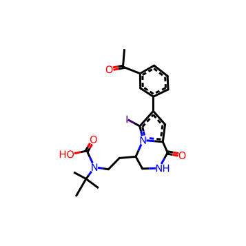 CC(=O)c1cccc(-c2cc3n(c2I)C(CCN(C(=O)O)C(C)(C)C)CNC3=O)c1